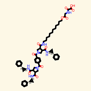 O=C(CNC(=O)C(=O)O)OCCCCCCCCCCCCNC(=O)C1CN(C(=O)c2ccc(C(=O)N3CC(C(=O)N[C@@H]4C[C@@H]4c4ccccc4)C(C(=O)N[C@@H]4C[C@@H]4c4ccccc4)C3)cc2)CC1C(=O)N[C@@H]1C[C@@H]1c1ccccc1